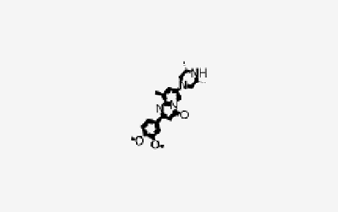 COc1ccc(-c2cc(=O)n3cc(N4C[C@@H](C)N[C@@H](C)C4)cc(C)c3n2)cc1OC